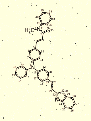 C[n+]1c(/C=C/c2ccc(N(c3ccccc3)c3ccc(/C=C/c4nc5ccccc5s4)cc3)cc2)sc2ccccc21